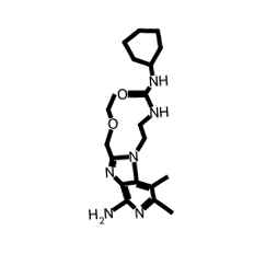 CCOCc1nc2c(N)nc(C)c(C)c2n1CCNC(=O)NC1CCCCC1